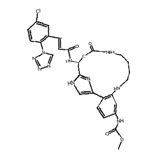 COC(=O)Nc1ccc2c(c1)NCCCCNC(=O)CC(NC(=O)C=Cc1cc(Cl)ccc1-n1cnnn1)c1nc-2c[nH]1